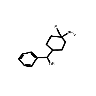 CCCC(c1ccccc1)C1CCC(F)(P)CC1